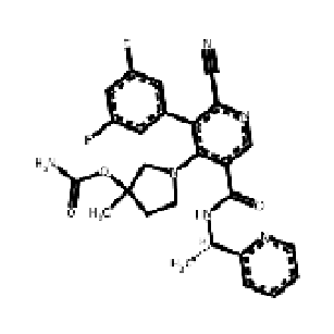 C[C@H](NC(=O)c1cnc(C#N)c(-c2cc(F)cc(F)c2)c1N1CCC(C)(OC(N)=O)C1)c1ccccn1